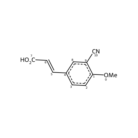 COc1ccc(C=CC(=O)O)cc1C#N